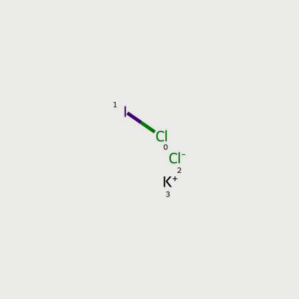 ClI.[Cl-].[K+]